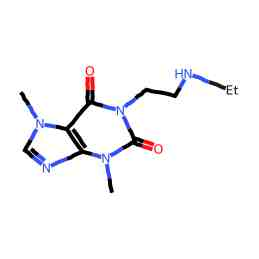 CCNCCn1c(=O)c2c(ncn2C)n(C)c1=O